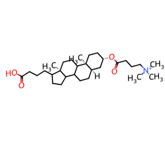 C[C@]12CCC3C(CC[C@@H]4C[C@@H](OC(=O)CCC[N+](C)(C)C)CC[C@]34C)C1CCC2CCCC(=O)O